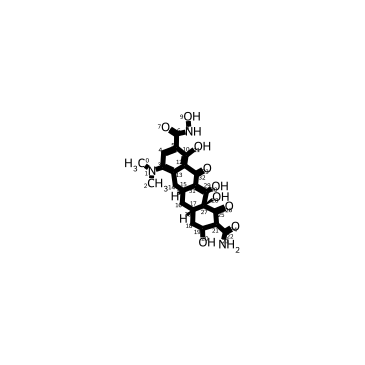 CN(C)c1cc(C(=O)NO)c(O)c2c1C[C@H]1C[C@H]3CC(O)C(C(N)=O)C(=O)[C@@]3(O)C(O)=C1C2=O